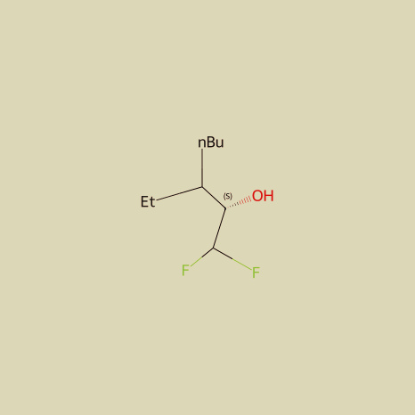 CCCCC(CC)[C@H](O)C(F)F